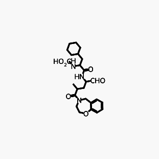 CC(CC(C=O)NC(=O)C(CC1CCCCC1)NC(=O)O)C(=O)N1CCOc2ccccc2C1